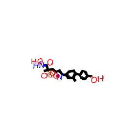 Cc1cc(C2=NOC(CC(C)(C(=O)NO)S(C)(=O)=O)C2)ccc1-c1ccc(CO)cc1